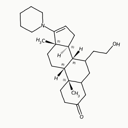 C[C@]12CCC(=O)CC1CC(CCO)[C@@H]1[C@H]2CC[C@]2(C)C(N3CCCCC3)=CC[C@@H]12